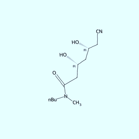 CCCCN(C)C(=O)C[C@H](O)C[C@H](O)CC#N